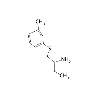 CCC(N)CSc1cccc(C)c1